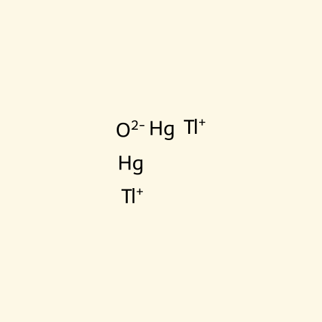 [Hg].[Hg].[O-2].[Tl+].[Tl+]